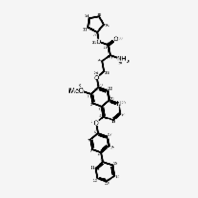 COc1cc2c(Oc3ccc(-c4ccccc4)cc3)ccnc2cc1OCCC(N)C(=O)OC1CCCC1